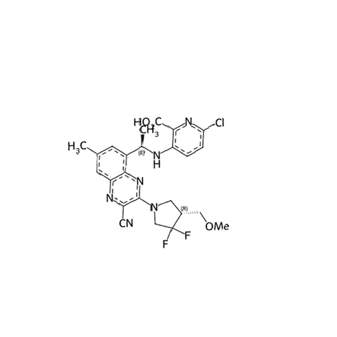 COC[C@H]1CN(c2nc3c([C@@H](C)Nc4ccc(Cl)nc4C(=O)O)cc(C)cc3nc2C#N)CC1(F)F